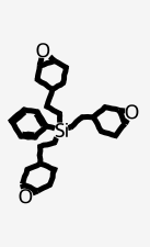 c1ccc([Si](CCC2CCC3OC3C2)(CCC2CCC3OC3C2)CCC2CCC3OC3C2)cc1